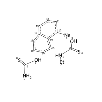 CCNC(O)=S.NC(O)=S.[Na][c]1cccc2ccccc12